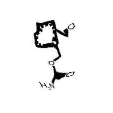 NC(=O)OCc1ccccc1C=O